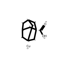 C1C2CC3CC1CC(C2)C3.O=CO.[Cu]